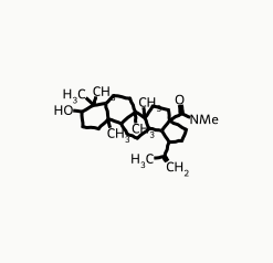 C=C(C)C1CCC2(C(=O)NC)CCC3(C)C(CCC4C5(C)CCC(O)C(C)(C)C5CCC43C)C12